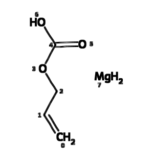 C=CCOC(=O)O.[MgH2]